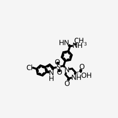 CNC(=N)c1ccc(C(N2CC(=O)N[C@@H](C(=O)O)C2)S(=O)(=O)c2cc3cc(Cl)ccc3[nH]2)cc1